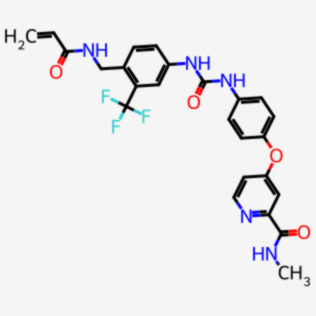 C=CC(=O)NCc1ccc(NC(=O)Nc2ccc(Oc3ccnc(C(=O)NC)c3)cc2)cc1C(F)(F)F